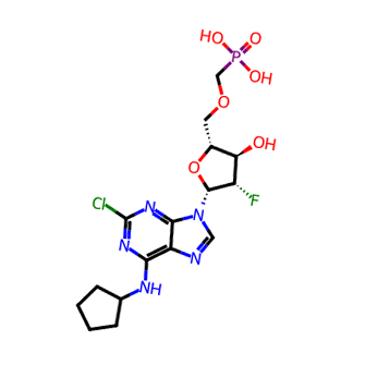 O=P(O)(O)COC[C@H]1O[C@@H](n2cnc3c(NC4CCCC4)nc(Cl)nc32)[C@@H](F)[C@@H]1O